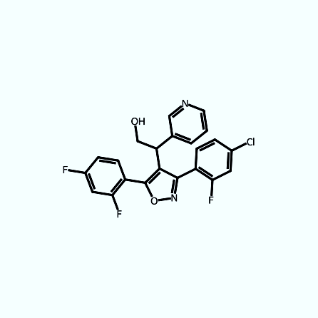 OCC(c1cccnc1)c1c(-c2ccc(Cl)cc2F)noc1-c1ccc(F)cc1F